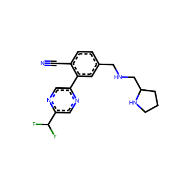 N#Cc1ccc(CNCC2CCCN2)cc1-c1cnc(C(F)F)cn1